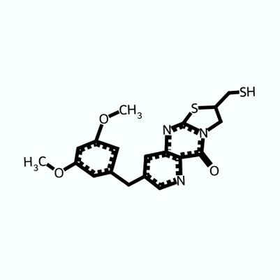 COc1cc(Cc2cnc3c(=O)n4c(nc3c2)SC(CS)C4)cc(OC)c1